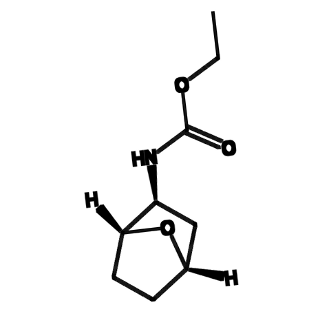 CCOC(=O)N[C@H]1C[C@@H]2CC[C@H]1O2